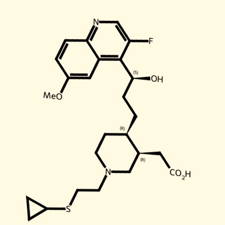 COc1ccc2ncc(F)c([C@@H](O)CC[C@@H]3CCN(CCSC4CC4)C[C@@H]3CC(=O)O)c2c1